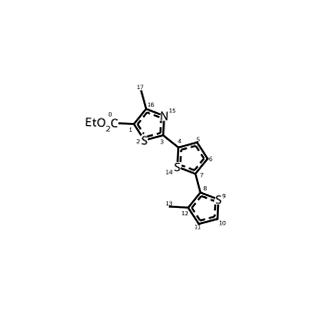 CCOC(=O)c1sc(-c2ccc(-c3sccc3C)s2)nc1C